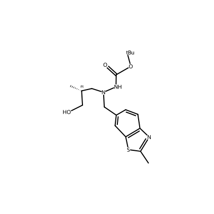 Cc1nc2ccc(CN(C[C@@H](C)CO)NC(=O)OC(C)(C)C)cc2s1